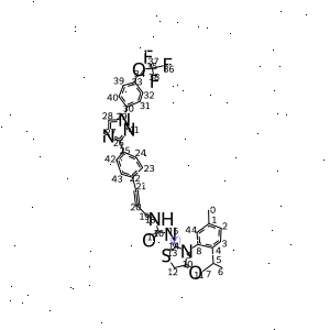 Cc1ccc(C(C)C)c(N2C(=O)CS/C2=N\C(=O)NCC#Cc2ccc(-c3ncn(-c4ccc(OC(F)(F)F)cc4)n3)cc2)c1